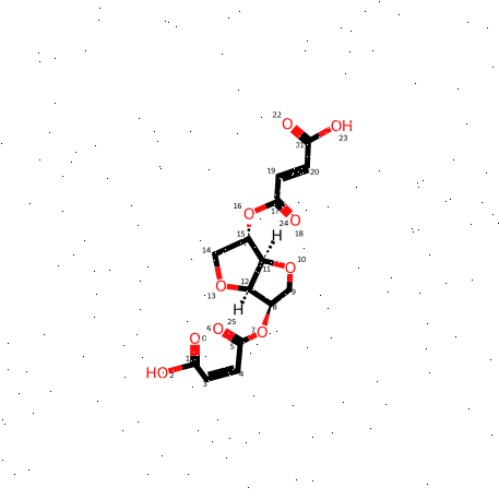 O=C(O)/C=C\C(=O)O[C@@H]1CO[C@H]2[C@@H]1OC[C@@H]2OC(=O)/C=C/C(=O)O